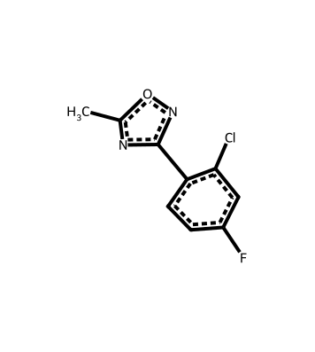 Cc1nc(-c2ccc(F)cc2Cl)no1